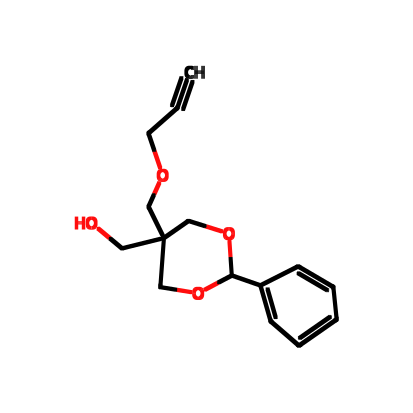 C#CCOCC1(CO)COC(c2ccccc2)OC1